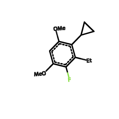 CCc1c(F)c(OC)cc(OC)c1C1CC1